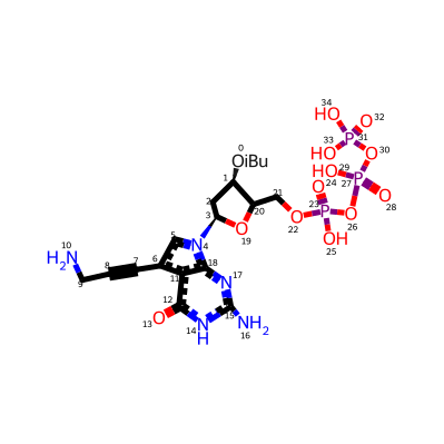 CC(C)CO[C@@H]1C[C@H](n2cc(C#CCN)c3c(=O)[nH]c(N)nc32)OC1COP(=O)(O)OP(=O)(O)OP(=O)(O)O